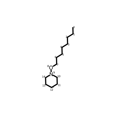 CCCCCCCCON1CC[CH]CC1